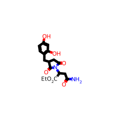 CCOC(=O)C(CC(N)=O)N1C(=O)CC(Cc2ccc(O)cc2O)C1=O